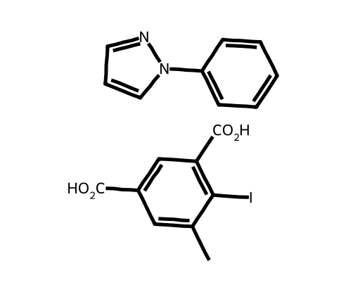 Cc1cc(C(=O)O)cc(C(=O)O)c1I.c1ccc(-n2cccn2)cc1